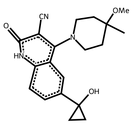 COC1(C)CCN(c2c(C#N)c(=O)[nH]c3ccc(C4(O)CC4)cc23)CC1